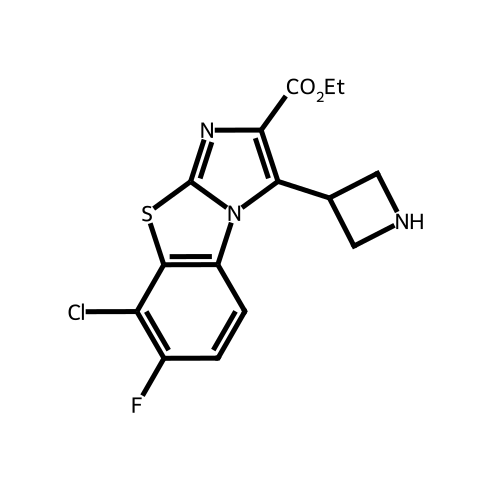 CCOC(=O)c1nc2sc3c(Cl)c(F)ccc3n2c1C1CNC1